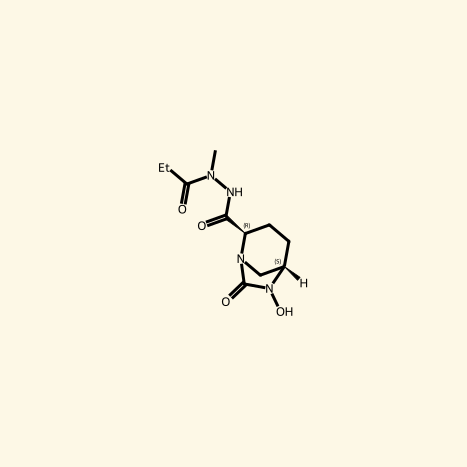 CCC(=O)N(C)NC(=O)[C@H]1CC[C@H]2CN1C(=O)N2O